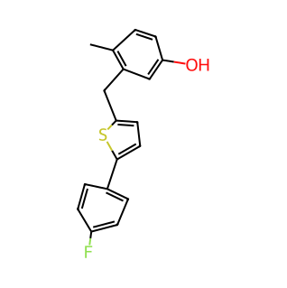 Cc1ccc(O)cc1Cc1ccc(-c2ccc(F)cc2)s1